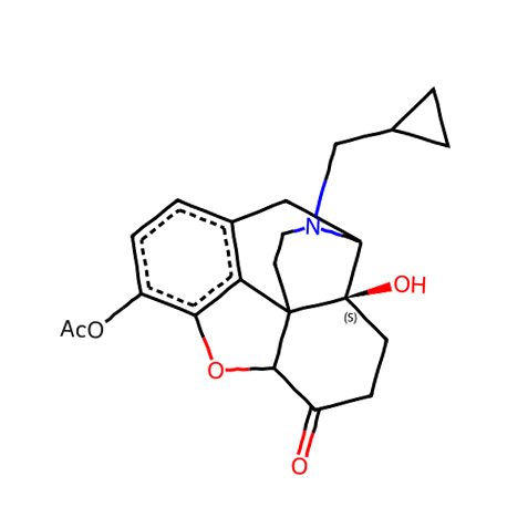 CC(=O)Oc1ccc2c3c1OC1C(=O)CC[C@@]4(O)C(C2)N(CC2CC2)CCC314